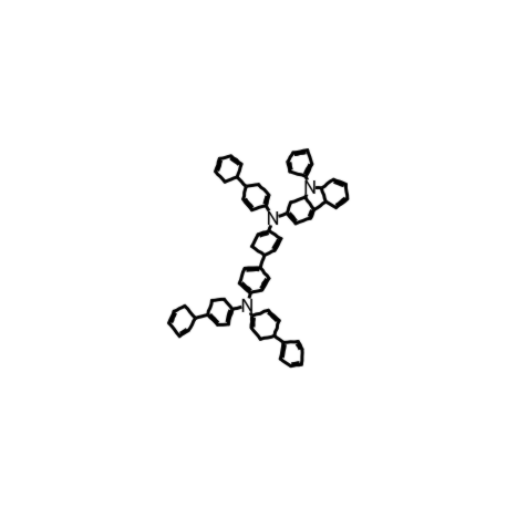 C1=CCC(C2=CC=C(N(C3=CCC(c4ccccc4)C=C3)c3ccc(C4C=CC(N(C5=CCC(C6C=CC=CC6)C=C5)C5=CC=C6C7C=CC=CC7N(c7ccccc7)C6C5)=CC4)cc3)CC2)C=C1